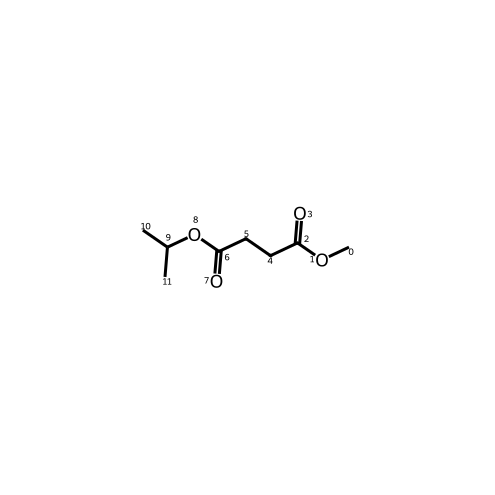 COC(=O)CCC(=O)OC(C)C